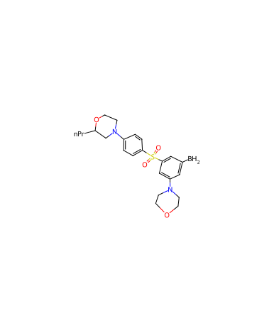 Bc1cc(N2CCOCC2)cc(S(=O)(=O)c2ccc(N3CCOC(CCC)C3)cc2)c1